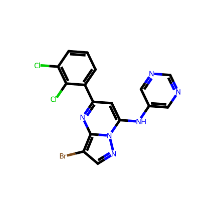 Clc1cccc(-c2cc(Nc3cncnc3)n3ncc(Br)c3n2)c1Cl